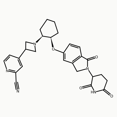 N#Cc1cc(C2CN([C@H]3CCCC[C@H]3Oc3ccc4c(c3)CN(C3CCC(=O)NC3=O)C4=O)C2)ccn1